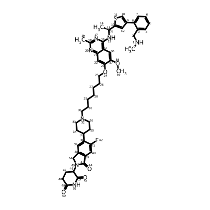 CNCc1ccccc1-c1csc([C@H](C)Nc2nc(C)nc3cc(OCCCCCCCN4CCC(c5cc6c(cc5F)C(=O)N(C5CCC(=O)NC5=O)C6)CC4)c(OC)cc23)c1